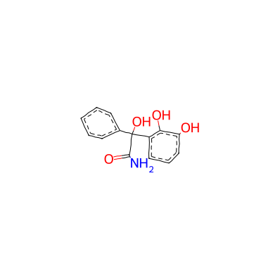 NC(=O)C(O)(c1ccccc1)c1cccc(O)c1O